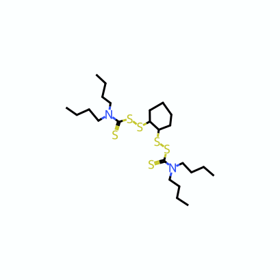 CCCCN(CCCC)C(=S)SSC1CCCCC1SSC(=S)N(CCCC)CCCC